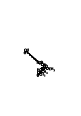 CC(=O)O.CC(=O)O.CCCCCCCCCCCCCC(=O)O.CCOC(=O)c1ccccc1C(=O)OCC